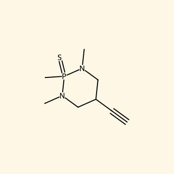 C#CC1CN(C)P(C)(=S)N(C)C1